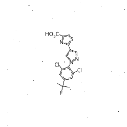 CC(C)(F)c1cc(Cl)c(-n2cc(-c3nc(C(=O)O)cs3)cn2)c(Cl)c1